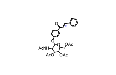 CC(=O)NC1C(Oc2ccc(C(=O)/C=C/c3ccccc3)cc2)OC(COC(C)=O)C(OC(C)=O)C1OC(C)=O